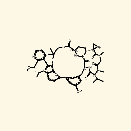 CCn1c(-c2cccnc2[C@H](C)OC)c2c3cc(ccc31)-c1cc(O)cc(c1)C[C@H](NC(=O)[C@H](C(C)C)N(C)C(=O)CN(C)C(=O)[C@@]1(C)CN1)C(=O)N1CCC[C@H](N1)C(=O)OCC(C)(C)C2